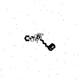 C[N+]1(CCOP(=O)(O)OCCCCC=C2C3CC4CC(C3)CC2C4)CCCCC1